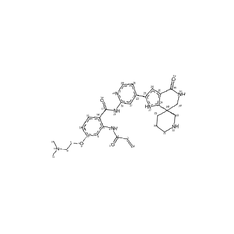 C=CC(=O)Nc1cc(OCCN(C)C)ccc1C(=O)Nc1cc(-c2cc3c([nH]2)C2(CCCNC2)CNC3=O)ccn1